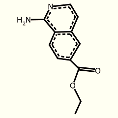 CCOC(=O)c1ccc2c(N)nccc2c1